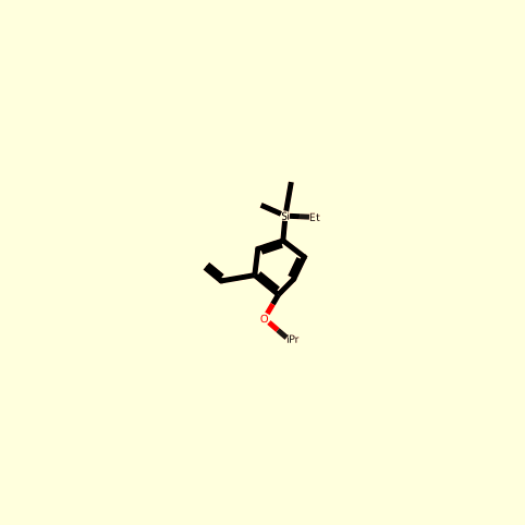 C=Cc1cc([Si](C)(C)CC)ccc1OC(C)C